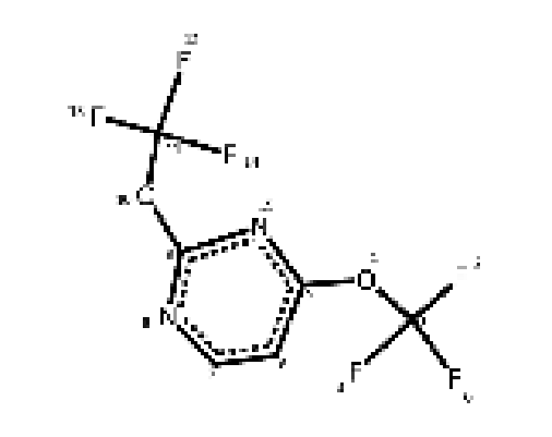 FC(F)(F)Oc1ccnc(OC(F)(F)F)n1